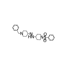 O=S(=O)(c1ccccc1)N1CCC(N[N]C2CCN(Cc3ccccc3)CC2)CC1